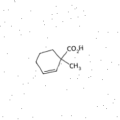 CC1(C(=O)O)C=CCCC1